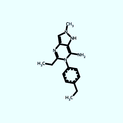 CCC1=NC2=CN(C)NC2=C(N)N1c1ccc(CC)cc1